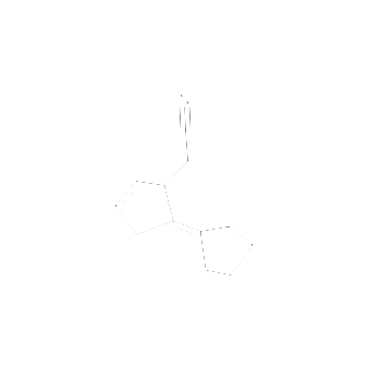 N#C/C=C1\C=CCC1=C1CCCC1